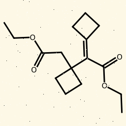 CCOC(=O)CC1(C(C(=O)OCC)=C2CCC2)CCC1